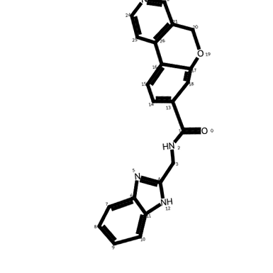 O=C(NCc1nc2ccccc2[nH]1)c1ccc2c(c1)OCc1cnccc1-2